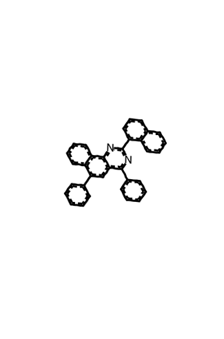 c1ccc(-c2cc3c(-c4ccccc4)nc(-c4cccc5ccccc45)nc3c3ccccc23)cc1